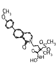 COc1ccc(-c2ccc3c(=O)n(CC[C@](C)(C(=O)NO)S(C)(=O)=O)ccc3c2)cc1